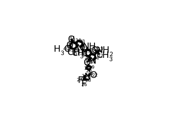 C[C@@H]1c2nc(Nc3cc4c(C(C)(C)N)cnc(O[C@H]5C[C@@H](C(=O)N6CC(F)(F)C6)C5)c4cn3)ccc2C(=O)OC1(C)C